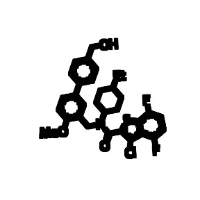 CCC1CCC(N(Cc2cc(-c3ccc(CO)cc3)ccc2OC)C(=O)c2sc3c(F)ccc(F)c3c2Cl)CC1